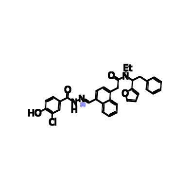 CCN(C(=O)Cc1ccc(/C=N/NC(=O)c2ccc(O)c(Cl)c2)c2ccccc12)C(Cc1ccccc1)c1ccco1